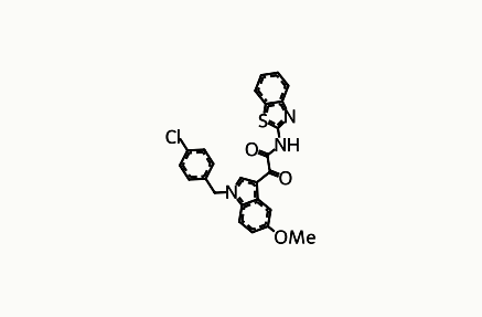 COc1ccc2c(c1)c(C(=O)C(=O)Nc1nc3ccccc3s1)cn2Cc1ccc(Cl)cc1